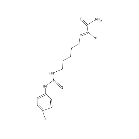 NC(=O)C(F)=CCCCCCNC(=O)Nc1ccc(F)cc1